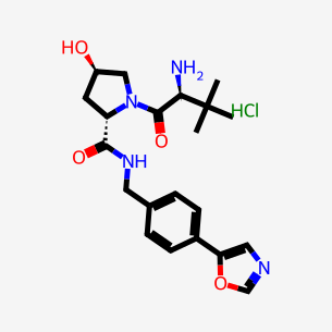 CC(C)(C)[C@H](N)C(=O)N1C[C@H](O)C[C@H]1C(=O)NCc1ccc(-c2cnco2)cc1.Cl